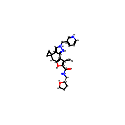 Cc1c(C(=O)NC[C@@H]2CCCO2)oc2c1-c1nn(Cc3cccnc3)cc1C1(CC1)C2